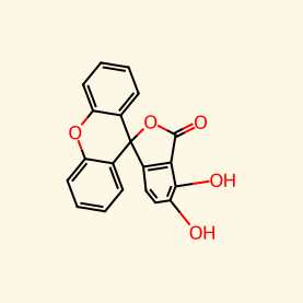 O=C1OC2(c3ccccc3Oc3ccccc32)c2ccc(O)c(O)c21